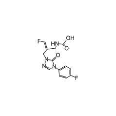 O=C(O)NC/C(=C/F)Cn1ncn(-c2ccc(F)cc2)c1=O